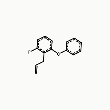 C=CCc1c(F)cccc1Oc1ccccc1